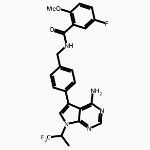 COc1ccc(F)cc1C(=O)NCc1ccc(-c2cn(C(C)C(F)(F)F)c3ncnc(N)c23)cc1